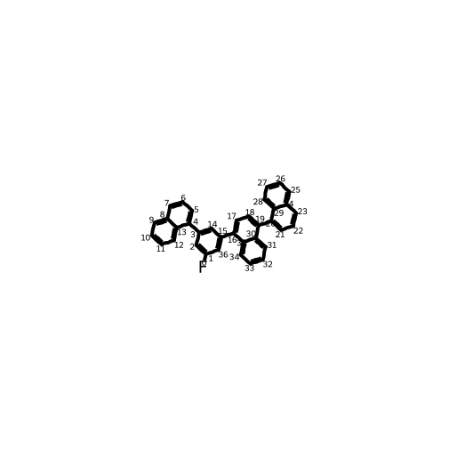 Fc1cc(-c2cccc3ccccc23)cc(-c2ccc(-c3cccc4ccccc34)c3ccccc23)c1